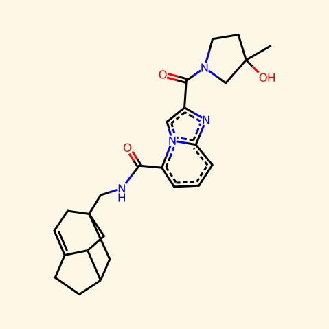 CC1(O)CCN(C(=O)c2cn3c(C(=O)NCC45CC=C6CCC(C4)C6C5)cccc3n2)C1